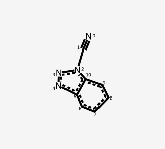 N#Cn1nnc2ccccc21